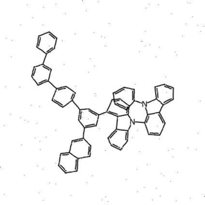 c1ccc(-c2cccc(-c3ccc(-c4cc(-c5ccc6ccccc6c5)cc(-c5cccc6c5c5ccccc5n6-c5cccc6c7ccccc7n(-c7ccccc7)c56)c4)cc3)c2)cc1